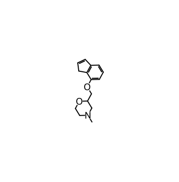 CN1CCOC(COc2cccc3c2CC=C3)C1